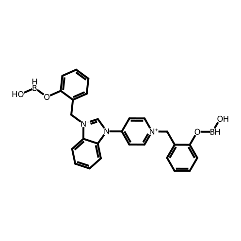 OBOc1ccccc1C[n+]1ccc(-n2c[n+](Cc3ccccc3OBO)c3ccccc32)cc1